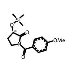 COc1ccc(C(=O)N2CC[C@@H](O[Si](C)(C)C)C2=O)cc1